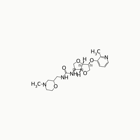 Cc1ncccc1O[C@H]1CO[C@H]2[C@@H]1OC[C@@H]2NC(=O)NCC1CN(C)CCO1